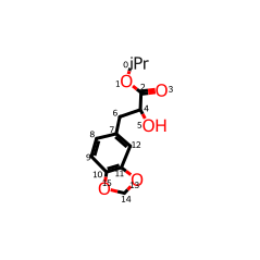 CC(C)OC(=O)C(O)Cc1ccc2c(c1)OCO2